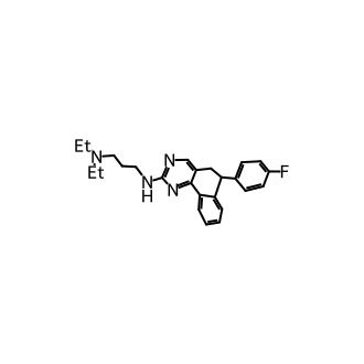 CCN(CC)CCCNc1ncc2c(n1)-c1ccccc1C(c1ccc(F)cc1)C2